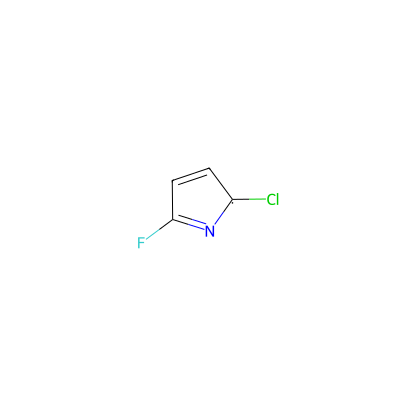 FC1=N[C](Cl)C=C1